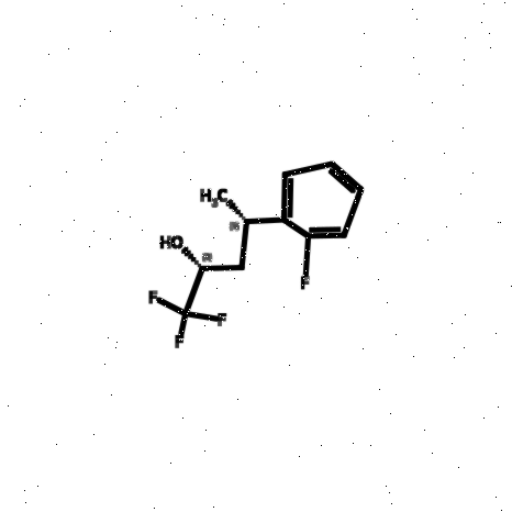 C[C@@H](C[C@@H](O)C(F)(F)F)c1ccccc1F